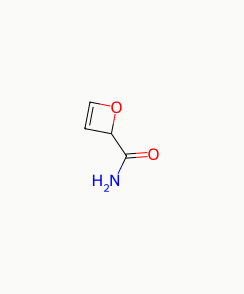 NC(=O)C1C=CO1